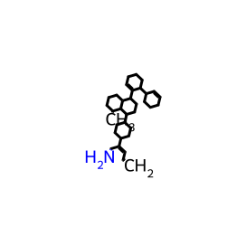 C=C/C=C(\CN)C1CCC(C2CCC(C3=CCCCC3C3C=CCCC3)C3CCCC(C)C23)CC1